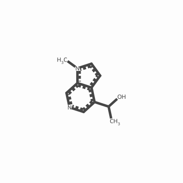 CC(O)c1cncc2c1ccn2C